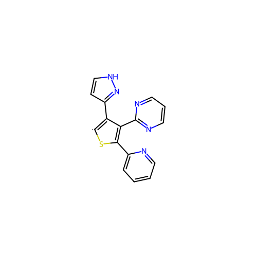 [c]1sc(-c2ccccn2)c(-c2ncccn2)c1-c1cc[nH]n1